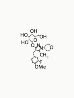 COc1ccc(Cc2c(O[C@@H]3O[C@H](CO)[C@@H](O)[C@H](O)[C@H]3O)nn(C3CCOCC3)c2C)cc1F